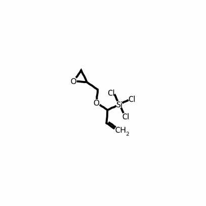 C=CC(OCC1CO1)[Si](Cl)(Cl)Cl